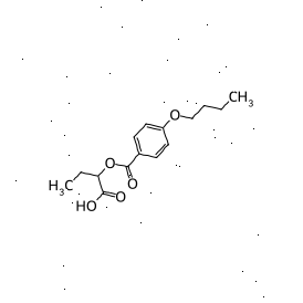 CCCCOc1ccc(C(=O)OC(CC)C(=O)O)cc1